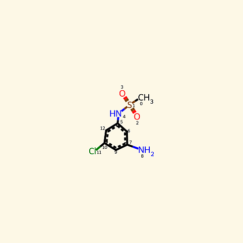 CS(=O)(=O)Nc1cc(N)cc(Cl)c1